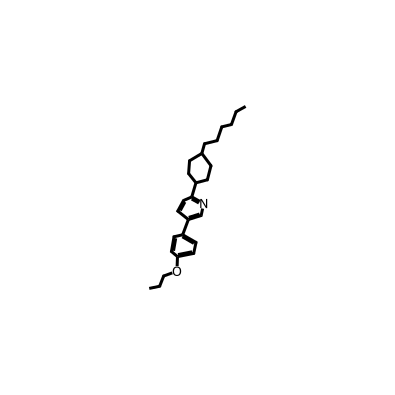 CCCCCCC1CCC(c2ccc(-c3ccc(OCCC)cc3)cn2)CC1